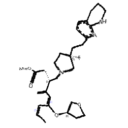 C=C(/C=C(\C=C/C)O[C@@H]1CCOC1)[C@H](CC(=O)OC)CN1CC[C@@](F)(CCc2ccc3c(n2)NCCC3)C1